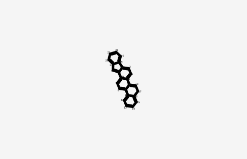 C1=c2c(ccc3c4c(ccc23)-c2ccccc2CC=4)-c2ccccc21